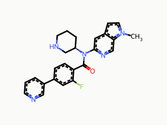 Cn1ccc2cc(N(C(=O)c3ccc(-c4cccnc4)cc3F)[C@@H]3CCCNC3)ncc21